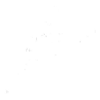 C#CCCCOC(=O)NC(C)CC(NC(=O)OCC)C(=O)OCCCC#C